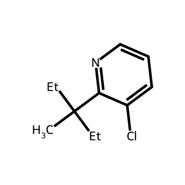 CCC(C)(CC)c1ncccc1Cl